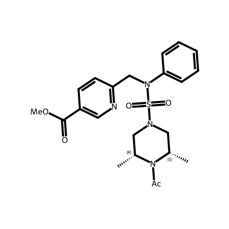 COC(=O)c1ccc(CN(c2ccccc2)S(=O)(=O)N2C[C@@H](C)N(C(C)=O)[C@@H](C)C2)nc1